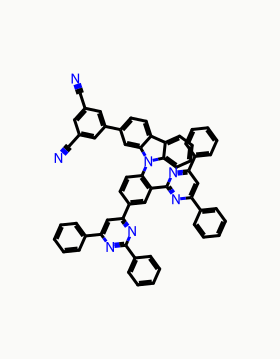 N#Cc1cc(C#N)cc(-c2ccc3c4ccccc4n(-c4ccc(-c5cc(-c6ccccc6)nc(-c6ccccc6)n5)cc4-c4nc(-c5ccccc5)cc(-c5ccccc5)n4)c3c2)c1